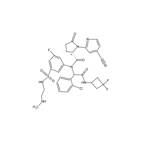 CNCCNS(=O)(=O)c1cc(F)cc(N(C(=O)[C@@H]2CCC(=O)N2c2cc(C#N)ccn2)C(C(=O)NC2CC(F)(F)C2)c2ccccc2Cl)c1